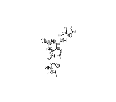 CNC(=O)Cn1ccc2c(NCc3ccco3)nc(Cl)nc21